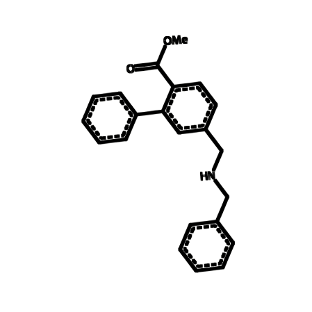 COC(=O)c1ccc(CNCc2ccccc2)cc1-c1ccccc1